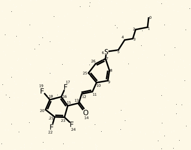 CCCCCCSc1ccc(/C=C/C(=O)c2c(F)c(F)cc(F)c2F)cc1